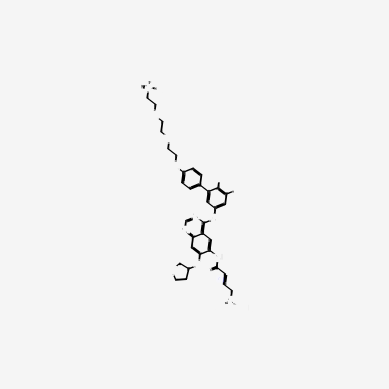 CN(C)C/C=C/C(=O)Nc1cc2c(Nc3cc(Cl)c(F)c(-c4ccc(OCCOCCOCCS(=O)(=O)Cl)cc4)c3)ncnc2cc1OC1CCOC1